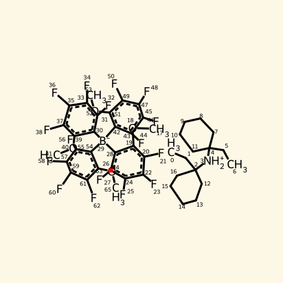 CCC1([NH2+]C2(CC)CCCCC2)CCCCC1.COc1c(F)c(F)c(F)c(F)c1[B-](c1c(F)c(F)c(F)c(F)c1OC)(c1c(F)c(F)c(F)c(F)c1OC)c1c(F)c(F)c(F)c(F)c1OC